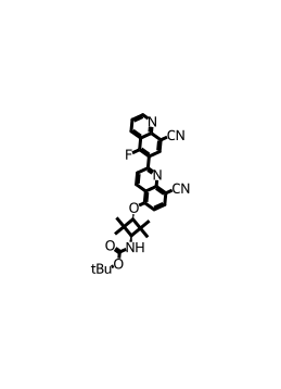 CC(C)(C)OC(=O)N[C@H]1C(C)(C)[C@H](Oc2ccc(C#N)c3nc(-c4cc(C#N)c5ncccc5c4F)ccc23)C1(C)C